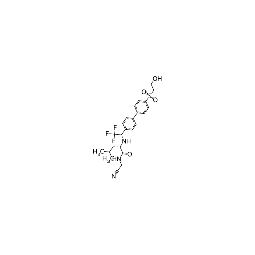 CC(C)C[C@H](N[C@@H](c1ccc(-c2ccc(S(=O)(=O)CCO)cc2)cc1)C(F)(F)F)C(=O)NCC#N